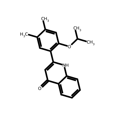 Cc1cc(OC(C)C)c(-c2cc(=O)c3ccccc3[nH]2)cc1C